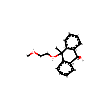 COCCOC1(C)c2ccccc2C(=O)c2ccccc21